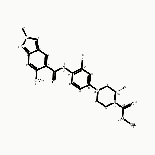 COc1cc2nn(C)cc2cc1C(=O)Nc1ccc(N2CCN(C(=O)OC(C)(C)C)[C@@H](C)C2)cc1F